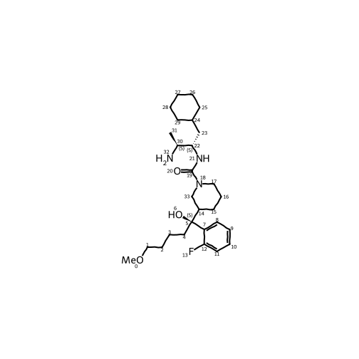 COCCCC[C@@](O)(c1ccccc1F)C1CCCN(C(=O)N[C@@H](CC2CCCCC2)[C@H](C)N)C1